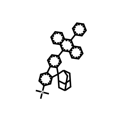 C[Si](C)(C)c1ccc2c(c1)C1(c3cc(-c4c5ccccc5c(-c5ccccc5)c5ccccc45)ccc3-2)C2CC3CC(C2)CC1C3